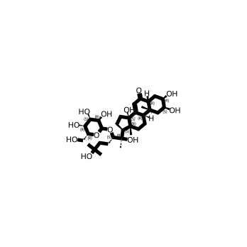 CC(C)(O)CC[C@H](OC1O[C@H](CO)[C@H](O)[C@H](O)[C@H]1O)[C@](C)(O)[C@H]1CC[C@@]2(O)C3=CC(=O)[C@@H]4C[C@@H](O)[C@@H](O)C[C@]4(C)[C@H]3CC[C@]12C